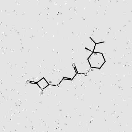 CC(C)[C@]1(C)CCC[C@H](OC(=O)C=CS[C@@H]2CC(=O)N2)C1